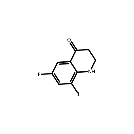 O=C1CCNc2c(I)cc(F)cc21